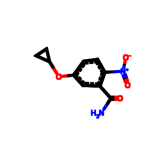 NC(=O)c1cc(OC2CC2)ccc1[N+](=O)[O-]